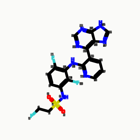 O=S(=O)(CCF)Nc1ccc(F)c(Nc2ncccc2-c2ncnc3[nH]cnc23)c1F